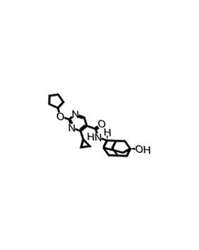 O=C(N[C@H]1C2CC3CC1C[C@@](O)(C3)C2)c1cnc(OC2CCCC2)nc1C1CC1